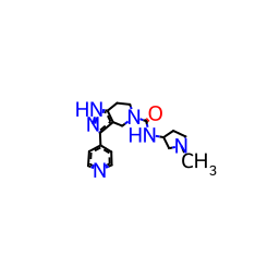 CN1CCC(NC(=O)N2CCc3[nH]nc(-c4ccncc4)c3C2)C1